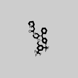 O=C(Cc1ccccn1)N1CC[C@H](OCc2cc(C(F)(F)F)cc(C(F)(F)F)c2)[C@H](C(c2ccccc2)c2ccccc2)C1